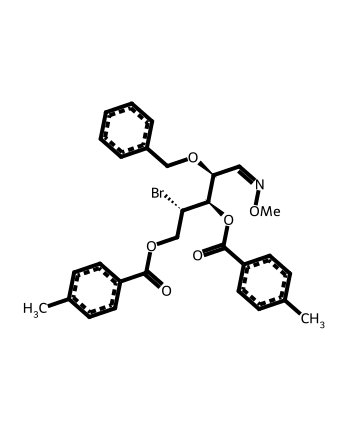 CO/N=C\[C@H](OCc1ccccc1)[C@@H](OC(=O)c1ccc(C)cc1)[C@@H](Br)COC(=O)c1ccc(C)cc1